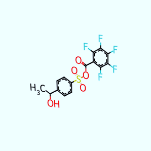 CC(O)c1ccc(S(=O)(=O)OC(=O)c2c(F)c(F)c(F)c(F)c2F)cc1